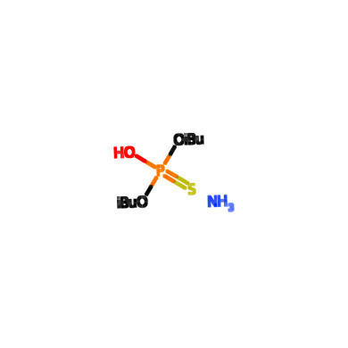 CC(C)COP(O)(=S)OCC(C)C.N